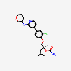 CC(C)C[C@@](C)(COc1ccc(-c2ccnc(NC3CCCOC3)c2)cc1Cl)OC(N)=O